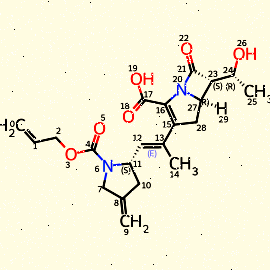 C=CCOC(=O)N1CC(=C)C[C@H]1/C=C(\C)C1=C(C(=O)O)N2C(=O)[C@H]([C@@H](C)O)[C@H]2C1